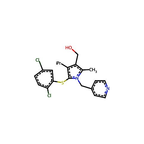 Cc1c(CO)c(C(C)C)c(Sc2cc(Cl)ccc2Cl)n1Cc1ccncc1